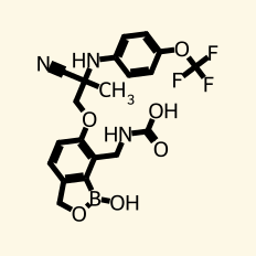 CC(C#N)(COc1ccc2c(c1CNC(=O)O)B(O)OC2)Nc1ccc(OC(F)(F)F)cc1